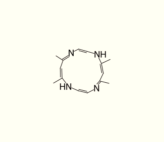 CC1=CC(C)=NC=CNC(C)=CC(C)=NC=CN1